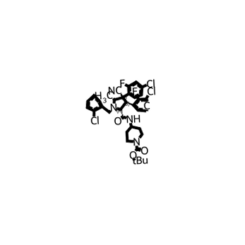 CC1N(Cc2ccccc2Cl)[C@@H](C(=O)NC2CCN(C(=O)OC(C)(C)C)CC2)[C@H](c2cccc(Cl)c2F)[C@@]1(C#N)c1ccc(Cl)cc1F